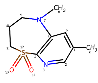 Cc1cnc2c(c1)N(C)CCCS2(=O)=O